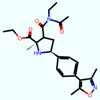 CCOC(=O)[C@]1(C)N[C@H](c2ccc(-c3c(C)noc3C)cc2)CC1C(=O)N(CC)C(C)=O